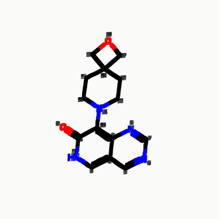 O=c1[nH]cc2cncnc2c1N1CCC2(CC1)COC2